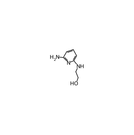 Nc1cccc(NCCO)n1